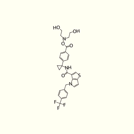 O=C(ON(CCO)CCO)c1ccc(C2(NC(=O)c3csc4ccn(Cc5ccc(C(F)(F)F)cc5)c34)CC2)cc1